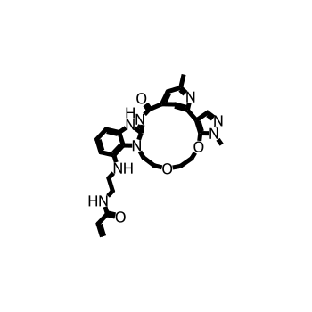 C=CC(=O)NCCNc1cccc2c1N1CCOCCOc3c(cnn3C)-c3cc(cc(C)n3)C(=O)/N=C/1N2